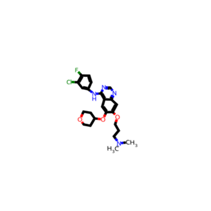 CN(C)CCCOc1cc2ncnc(Nc3ccc(F)c(Cl)c3)c2cc1OC1CCOCC1